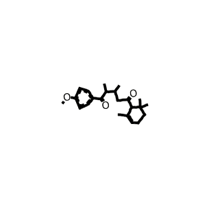 COc1ccc(C(=O)C(C)C(C)CC(=O)C2C(C)=CCCC2(C)C)cc1